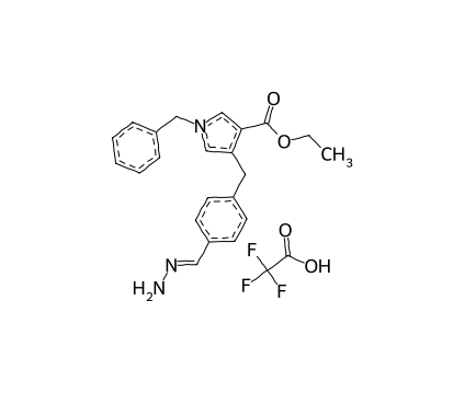 CCOC(=O)c1cn(Cc2ccccc2)cc1Cc1ccc(C=NN)cc1.O=C(O)C(F)(F)F